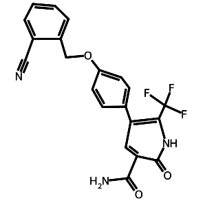 N#Cc1ccccc1COc1ccc(-c2cc(C(N)=O)c(=O)[nH]c2C(F)(F)F)cc1